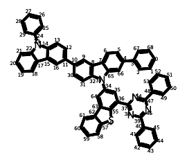 c1ccc(-c2ccc3c4cc(-c5ccc6c(c5)c5ccccc5n6-c5ccccc5)ccc4n(-c4cc(-c5nc(-c6ccccc6)nc(-c6ccccc6)n5)c5sc6ccccc6c5c4)c3c2)cc1